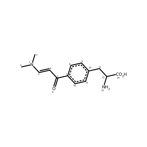 CN(C)/C=C/C(=O)c1ccc(CC(N)C(=O)O)cc1